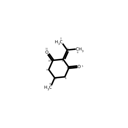 CC(C)=C1C(=O)CC(C)CC1=O